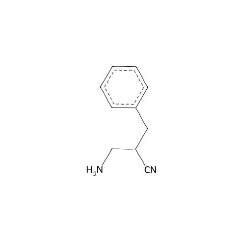 N#CC(CN)Cc1ccccc1